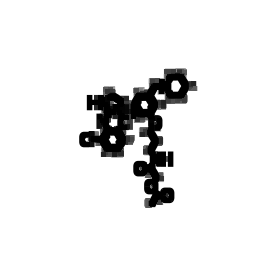 CC(=O)OCC(=O)NCCCOc1cccc(CN2CCCCC2)c1.Clc1cccc(Cl)c1N=C1NCCN1